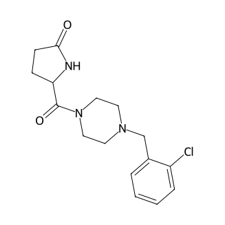 O=C1CCC(C(=O)N2CCN(Cc3ccccc3Cl)CC2)N1